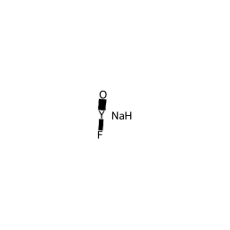 [NaH].[O]=[Y][F]